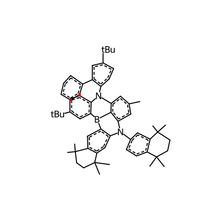 Cc1cc2c3c(c1)N(c1ccc(C(C)(C)C)cc1-c1ccccc1)c1ccc(C(C)(C)C)cc1B3c1cc3c(cc1N2c1ccc2c(c1)C(C)(C)CCC2(C)C)C(C)(C)CCC3(C)C